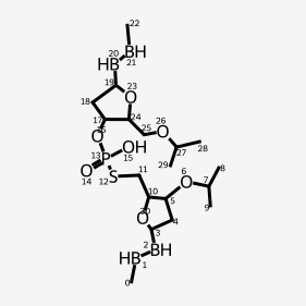 CBBC1CC(OC(C)C)C(CSP(=O)(O)OC2CC(BBC)OC2COC(C)C)O1